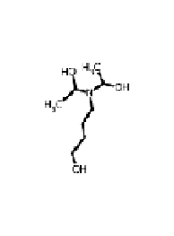 CC(O)N(CCCCO)C(C)O